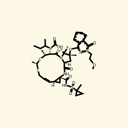 CCC(C)N(C(=O)O)[C@@H]1C(=O)N2[C@@H](C[C@@](C)(Oc3nn(CCOC)c(=O)c4ccccc34)C2(F)F)C(=O)N[C@]2(C(=O)NS(=O)(=O)C3(C)CC3)C[C@H]2/C=C\CC[C@@H](C)C[C@H]1C